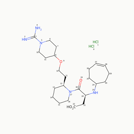 Cl.Cl.N=C(N)N1CCC(OCC[C@@H]2CCCCN2C(=O)[C@H](CC(=O)O)NC2CCC=CCC2)CC1